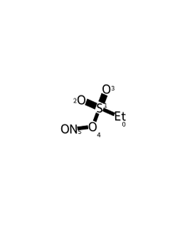 CCS(=O)(=O)ON=O